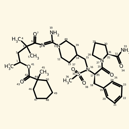 CC(CC(C)(C)C(=O)N=C(N)N1CCC(CN([C@H](Cc2ccccc2)C(=O)N2CCC[C@H]2C(N)=O)S(C)(=O)=O)CC1)OC(=O)C1(C)CCCCC1